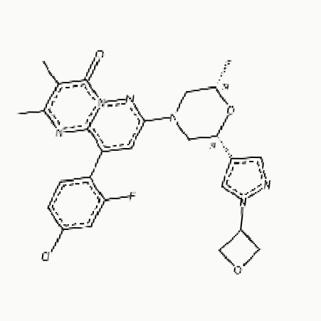 Cc1nc2c(-c3ccc(Cl)cc3F)cc(N3C[C@@H](c4cnn(C5COC5)c4)O[C@@H](C)C3)nn2c(=O)c1C